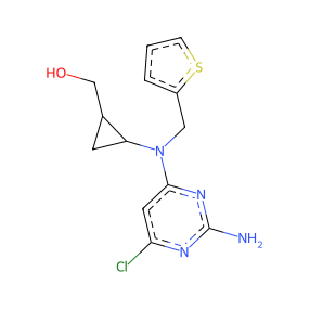 Nc1nc(Cl)cc(N(Cc2cccs2)C2CC2CO)n1